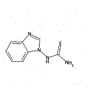 NC(=S)Nn1cnc2ccccc21